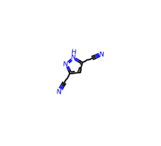 N#Cc1cc(C#N)[nH]n1